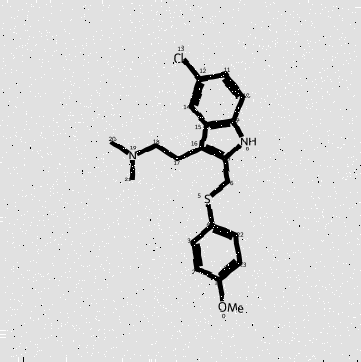 COc1ccc(SCc2[nH]c3ccc(Cl)cc3c2CCN(C)C)cc1